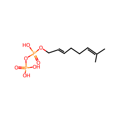 CC(C)=CCC/C=C/COP(=O)(O)OP(=O)(O)O